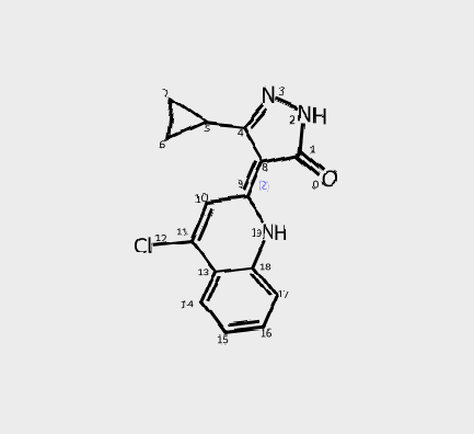 O=C1NN=C(C2CC2)/C1=C1\C=C(Cl)c2ccccc2N1